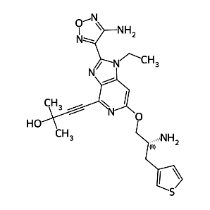 CCn1c(-c2nonc2N)nc2c(C#CC(C)(C)O)nc(OC[C@H](N)Cc3ccsc3)cc21